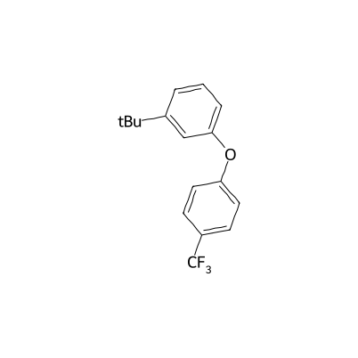 CC(C)(C)c1cccc(Oc2ccc(C(F)(F)F)cc2)c1